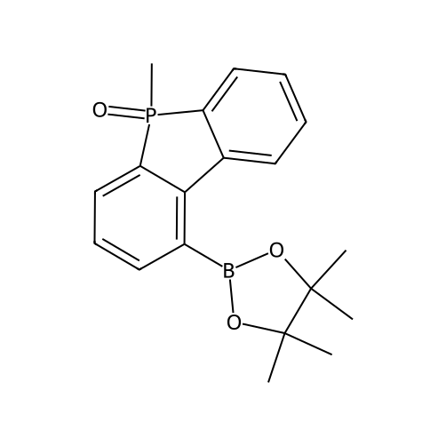 CC1(C)OB(c2cccc3c2-c2ccccc2P3(C)=O)OC1(C)C